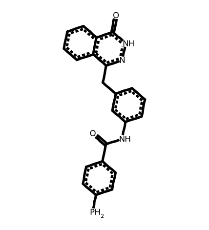 O=C(Nc1cccc(Cc2n[nH]c(=O)c3ccccc23)c1)c1ccc(P)cc1